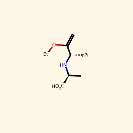 C=C(OCC)[C@H](CCC)N[C@@H](C)C(=O)O